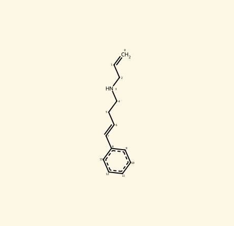 C=CCNCCC=Cc1ccccc1